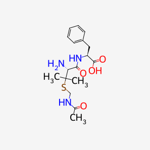 CC(=O)NCSC(C)(C)[C@H](N)C(=O)N[C@@H](Cc1ccccc1)C(=O)O